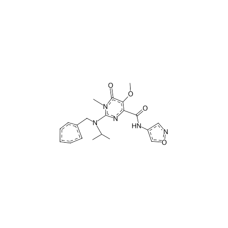 COc1c(C(=O)Nc2cnoc2)nc(N(Cc2ccccc2)C(C)C)n(C)c1=O